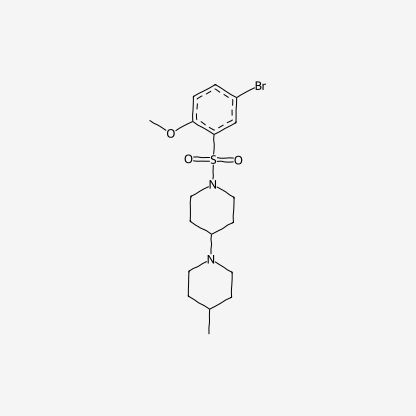 COc1ccc(Br)cc1S(=O)(=O)N1CCC(N2CCC(C)CC2)CC1